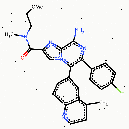 COCCN(C)C(=O)c1cn2c(-c3ccc4nccc(C)c4c3)c(-c3ccc(F)cc3)nc(N)c2n1